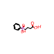 O=C(O)CCCP(=O)(O)c1ccccc1